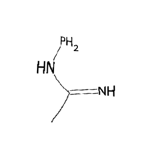 CC(=N)NP